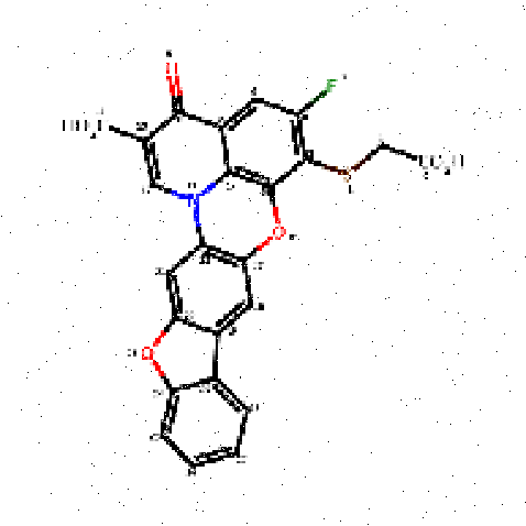 O=C(O)CSc1c(F)cc2c(=O)c(C(=O)O)cn3c2c1Oc1cc2c(cc1-3)oc1ccccc12